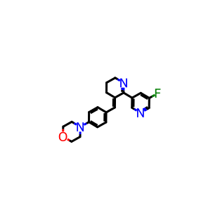 Fc1cncc(C2=NCCCC2=Cc2ccc(N3CCOCC3)cc2)c1